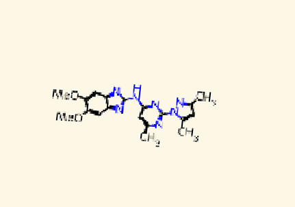 COc1cc2c(cc1OC)=NC(Nc1cc(C)nc(-n3nc(C)cc3C)n1)N=2